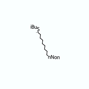 CCCCCCCCCCCCCCCCC[CH]SC(C)CC